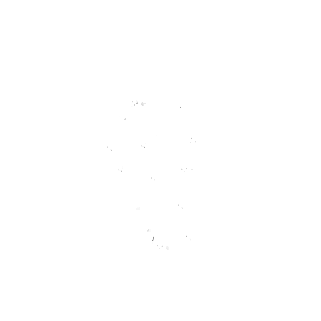 COc1ncnc(OC)c1-n1c(NS(=O)(=O)[C@@H](C)[C@H](OC)c2ncc(Cl)cn2)nnc1[C@H]1CCC(C)(C)O1